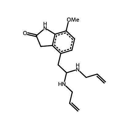 C=CCNC(Cc1ccc(OC)c2c1CC(=O)N2)NCC=C